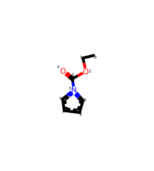 CCOC(=O)n1[c]ccc1